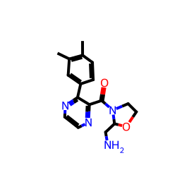 Cc1ccc(-c2nccnc2C(=O)N2CCOC2CN)cc1C